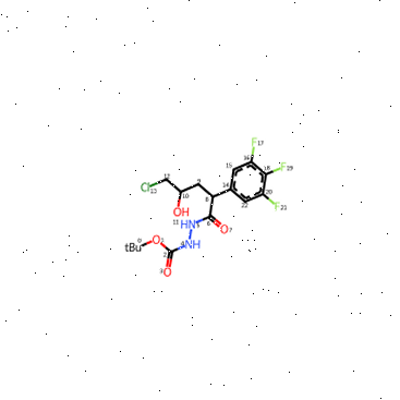 CC(C)(C)OC(=O)NNC(=O)C(CC(O)CCl)c1cc(F)c(F)c(F)c1